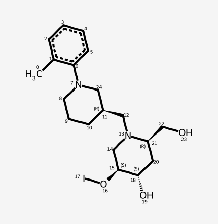 Cc1ccccc1N1CCC[C@H](CN2C[C@H](OI)[C@@H](O)C[C@@H]2CO)C1